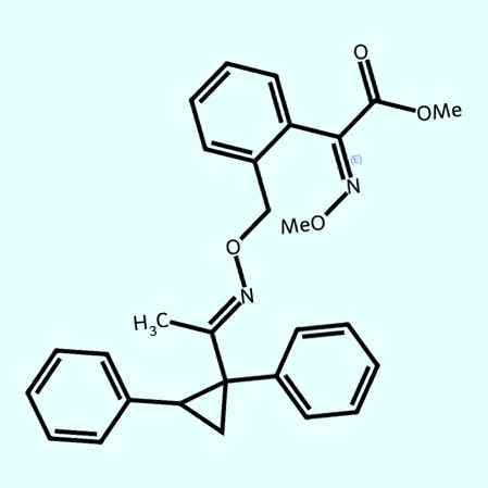 CO/N=C(/C(=O)OC)c1ccccc1CON=C(C)C1(c2ccccc2)CC1c1ccccc1